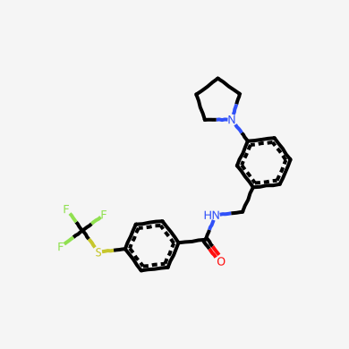 O=C(NCc1cccc(N2CCCC2)c1)c1ccc(SC(F)(F)F)cc1